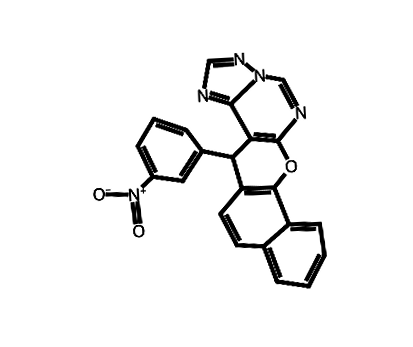 O=[N+]([O-])c1cccc(C2c3ccc4ccccc4c3Oc3ncn4ncnc4c32)c1